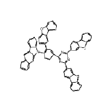 c1ccc2cc3c(cc2c1)c1ccccc1n3-c1ccc(-c2nc(-c3ccc4c(c3)sc3ccccc34)nc(-c3ccc4c(c3)sc3ccccc34)n2)cc1-c1ccc2oc3ccccc3c2c1